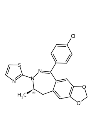 C[C@@H]1Cc2cc3c(cc2C(c2ccc(Cl)cc2)=NN1c1nccs1)OCO3